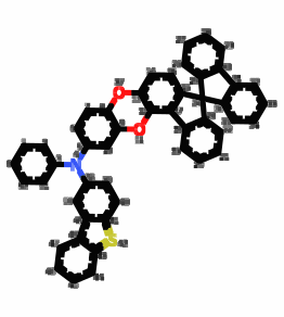 c1ccc(N(c2ccc3c(c2)Oc2c(ccc4c2-c2ccccc2C42c4ccccc4-c4ccccc42)O3)c2ccc3sc4ccccc4c3c2)cc1